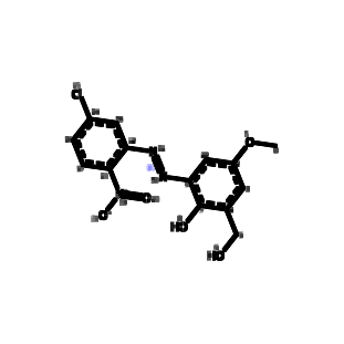 COc1cc(CO)c(O)c(/N=N/c2cc(Cl)ccc2[N+](=O)[O-])c1